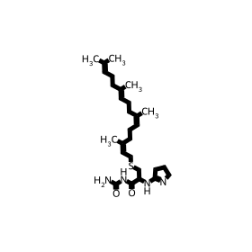 CC(C)=CCC/C(C)=C/CCC(C)=CCCC(C)=CCSCC(NC1=NCCC1)C(=O)NC(N)=O